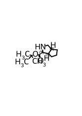 CC(C)(C)OC(=O)[C@H]1NC[C@@H]2CCC[C@@H]21